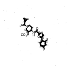 O=C(N[C@H]1CCN(C(F)C2CC2)C[C@@H]1C(=O)O)c1ncc(-c2ccc(F)cc2F)o1